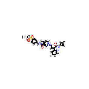 CS(=O)(=O)c1ccc(CN2CCC3(CCN(CCC(C(=O)NC4CCC4)c4ccccc4)CC3)C2=O)cc1